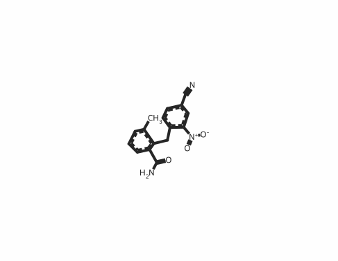 Cc1cccc(C(N)=O)c1Cc1ccc(C#N)cc1[N+](=O)[O-]